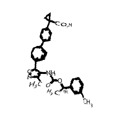 Cc1cccc([C@@H](C)OC(=O)Nc2c(C)noc2-c2ccc(-c3ccc(C4(C(=O)O)CC4)cc3)cc2)c1